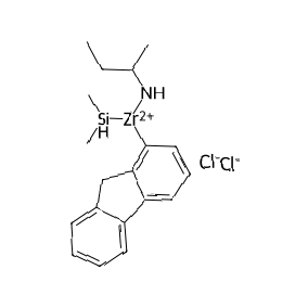 CCC(C)[NH][Zr+2]([c]1cccc2c1Cc1ccccc1-2)[SiH](C)C.[Cl-].[Cl-]